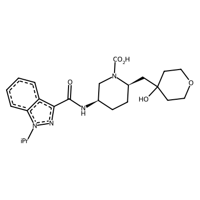 CC(C)n1nc(C(=O)N[C@@H]2CC[C@H](CC3(O)CCOCC3)N(C(=O)O)C2)c2ccccc21